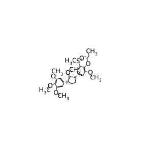 CCCOc1c(OC)cc([C@@H]2CC[C@H](c3cc(OC)c(OC)c(OC)c3)[C@@H]2OC)cc1[S+](C)[O-]